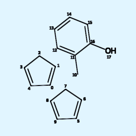 C1=CCC=C1.C1=CCC=C1.Cc1ccccc1O